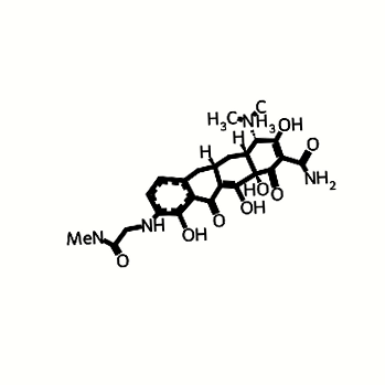 CNC(=O)CNc1ccc2c(c1O)C(=O)C1=C(O)[C@@]3(O)C(=O)C(C(N)=O)=C(O)[C@@H](N(C)C)[C@H]3C[C@H]1C2